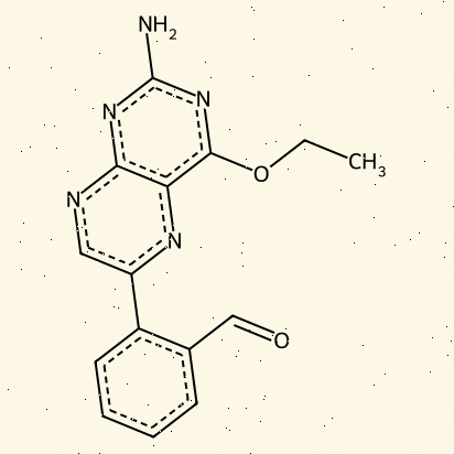 CCOc1nc(N)nc2ncc(-c3ccccc3C=O)nc12